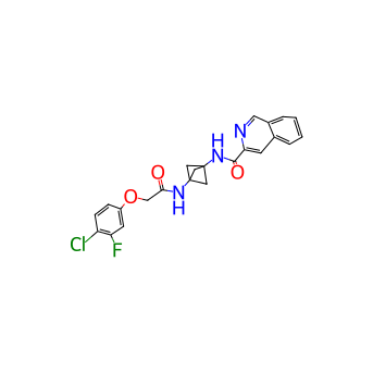 O=C(COc1ccc(Cl)c(F)c1)NC12CC(NC(=O)c3cc4ccccc4cn3)(C1)C2